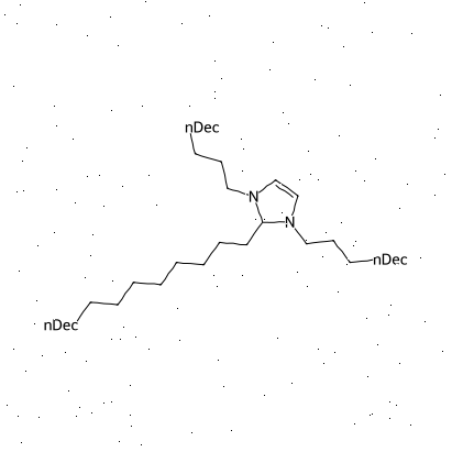 CCCCCCCCCCCCCCCCCCC1N(CCCCCCCCCCCCC)C=CN1CCCCCCCCCCCCC